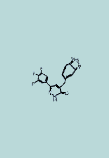 O=c1[nH]nc(-c2cc(F)c(F)c(F)c2)cc1Cc1ccc2nsnc2c1